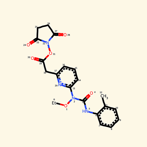 CCON(C(=O)Nc1ccccc1C)c1cccc(CC(=O)ON2C(=O)CCC2=O)n1